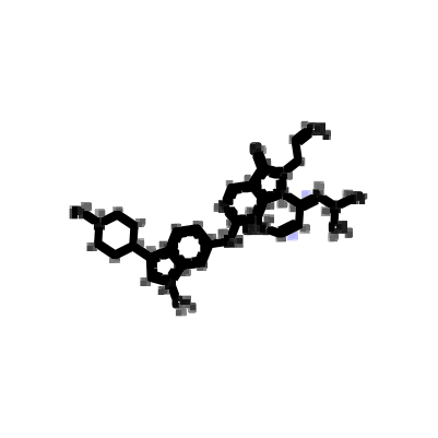 C=CCn1c(=O)c2cnc(Nc3ccc4c(C5CCN(C(C)C)CC5)cn(C)c4c3)nc2n1C(/C=C\C=O)=N/N(C)C(C)C